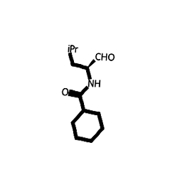 CC(C)C[C@@H](C=O)NC(=O)C1CCCCC1